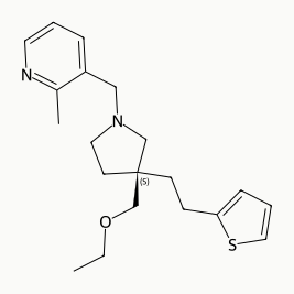 CCOC[C@@]1(CCc2cccs2)CCN(Cc2cccnc2C)C1